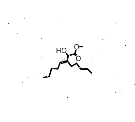 CCCC/C=C(\CCCCC)C(O)C(=O)OC